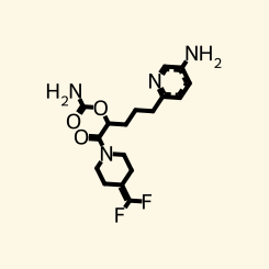 NC(=O)OC(CCCc1ccc(N)cn1)C(=O)N1CCC(=C(F)F)CC1